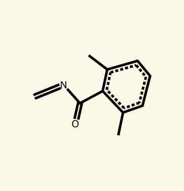 C=NC(=O)c1c(C)cccc1C